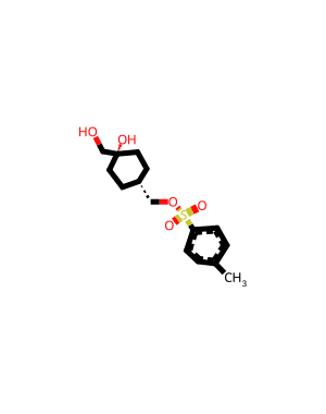 Cc1ccc(S(=O)(=O)OC[C@H]2CC[C@](O)(CO)CC2)cc1